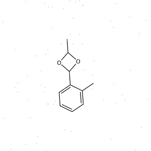 Cc1ccccc1C1OC(C)O1